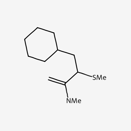 C=C(NC)C(CC1CCCCC1)SC